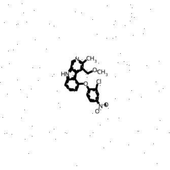 COCc1c(C)ncc2[nH]c3cccc(Oc4ccc([N+](=O)[O-])cc4Cl)c3c12